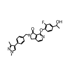 Cc1nn(C)cc1-c1ccc(CN2Cc3ccnc(Oc4ccc(C(C)O)cc4F)c3C2=O)cc1